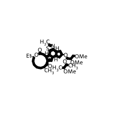 CC[C@H]1CCCC[C@@H](C)C(=O)C2=CC3[C@@H](c4sc(C)nc4[C@@H]4C[C@@H](OC(OC(C)[C@@H](C)OC)[C@H](COC)OC)C[C@@H]34)[C@@H]2CC(=O)O1